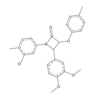 COc1ccc(C2C(Oc3ccc(C)cc3)C(=O)N2c2ccc(C)c(Cl)c2)cc1OC